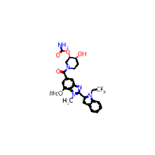 COc1cc(C(=O)N2CC[C@H](O)[C@H](OC(N)=O)C2)cc2nc(-c3cc4ccccc4n3CC(F)(F)F)n(C)c12